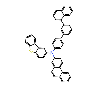 c1cc(-c2ccc(N(c3ccc4c(ccc5ccccc54)c3)c3ccc4sc5ccccc5c4c3)cc2)cc(-c2cccc3ccccc23)c1